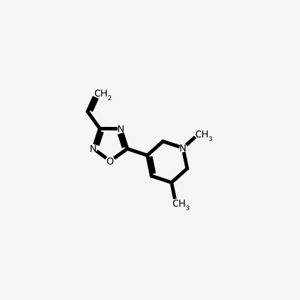 C=Cc1noc(C2=CC(C)CN(C)C2)n1